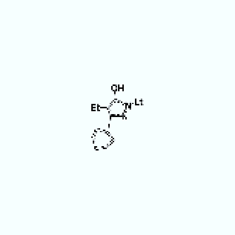 CCc1c(-c2ccccc2)nn(CC)c1O